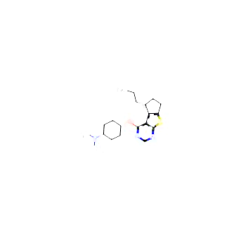 CN(C)[C@H]1CC[C@H](Oc2ncnc3sc4c(c23)[C@@H](CCC#N)CC4)CC1